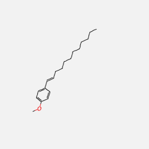 CCCCCCCCCCC=Cc1ccc(OC)cc1